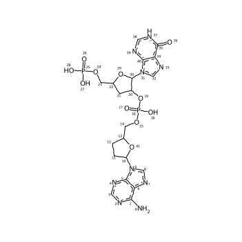 Nc1ncnc2c1ncn2C1CCC(COP(=O)(O)OC2CC(COP(=O)(O)O)OC2n2cnc3c(=O)[nH]cnc32)O1